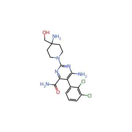 NC(=O)c1nc(N2CCC(N)(CO)CC2)nc(N)c1-c1cccc(Cl)c1Cl